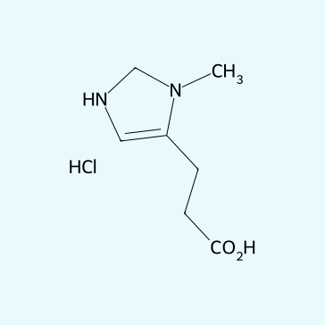 CN1CNC=C1CCC(=O)O.Cl